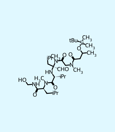 CC(C)C[C@@H](C(=O)NCO)N(C)C(=O)[C@H](N[C@@](C=O)(CC(C)C)N(C)C(=O)CN(C)C(=O)CC(C)O[Si](C)(C)C(C)(C)C)C(C)C